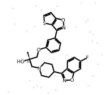 C[C@@](O)(COc1cccc(-c2noc3ccsc23)c1)CN1CCC(c2noc3cc(F)ccc23)CC1